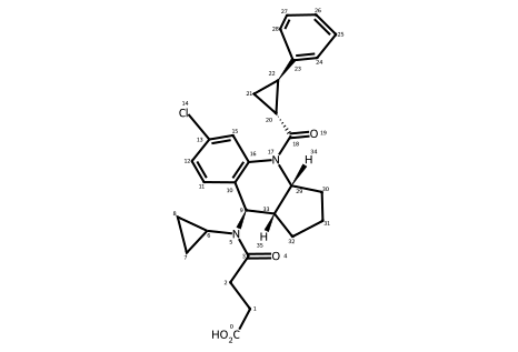 O=C(O)CCC(=O)N(C1CC1)[C@H]1c2ccc(Cl)cc2N(C(=O)[C@@H]2C[C@H]2c2ccccc2)[C@@H]2CCC[C@@H]21